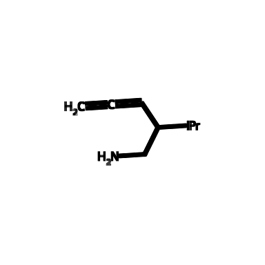 C=C=CC(CN)C(C)C